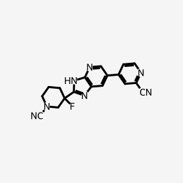 N#Cc1cc(-c2cnc3[nH]c(C4(F)CCCN(C#N)C4)nc3c2)ccn1